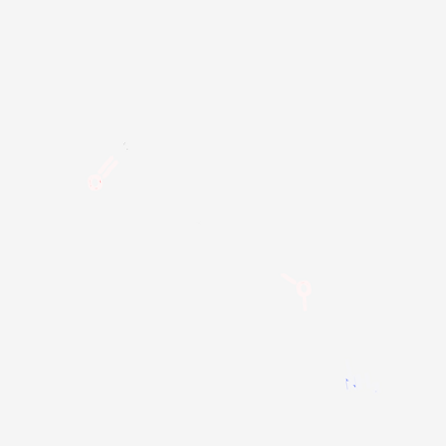 NCCOC1=CCC(C=CC(=O)c2ccccc2)C=C1